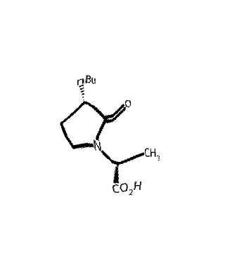 CCCC[C@H]1CCN([C@@H](C)C(=O)O)C1=O